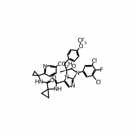 C[C@@]1(Cc2ccc(OC(F)(F)F)cc2)C(=O)N(c2cc(Cl)c(F)c(Cl)c2)c2ncc(C(=O)NC3(C(=O)NC4(c5ccc(C(=O)O)cn5)CC4)CC3)n21